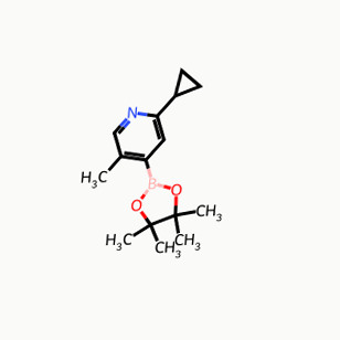 Cc1cnc(C2CC2)cc1B1OC(C)(C)C(C)(C)O1